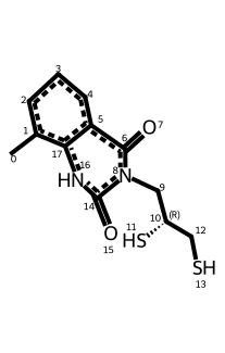 Cc1cccc2c(=O)n(C[C@@H](S)CS)c(=O)[nH]c12